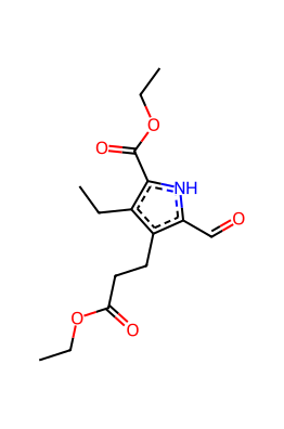 CCOC(=O)CCc1c(C=O)[nH]c(C(=O)OCC)c1CC